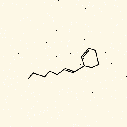 CCCCCC=CC1C=CCCC1